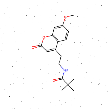 COc1ccc2c(CCNC(=O)C(C)(C)C)cc(=O)oc2c1